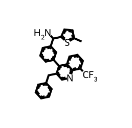 Cc1ccc(C(N)c2cccc(-c3c(Cc4ccccc4)cnc4c(C(F)(F)F)cccc34)c2)s1